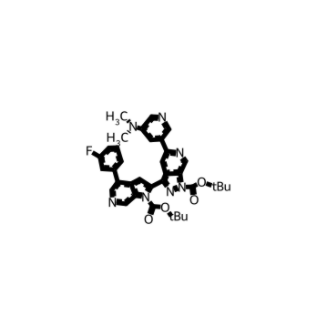 CN(C)c1cncc(-c2cc3c(-c4cc5c(-c6cccc(F)c6)cncc5n4C(=O)OC(C)(C)C)nn(C(=O)OC(C)(C)C)c3cn2)c1